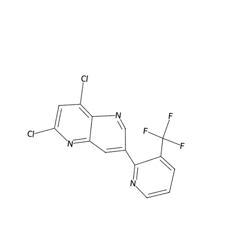 FC(F)(F)c1cccnc1-c1cnc2c(Cl)cc(Cl)nc2c1